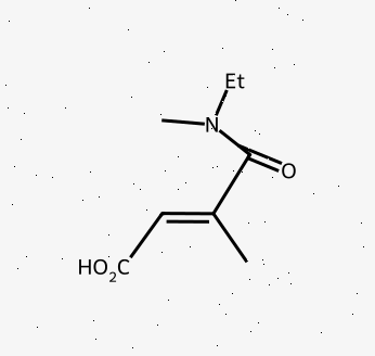 CCN(C)C(=O)C(C)=CC(=O)O